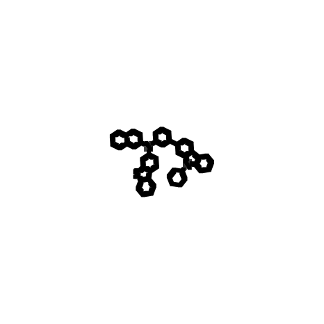 C1=CC(n2c3ccccc3c3ccc(-c4cccc(N(c5ccc6ccccc6c5)c5ccc6c(c5)sc5ccccc56)c4)cc32)=CCC1